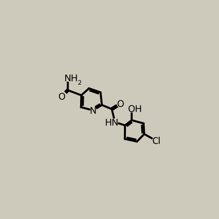 NC(=O)c1ccc(C(=O)Nc2ccc(Cl)cc2O)nc1